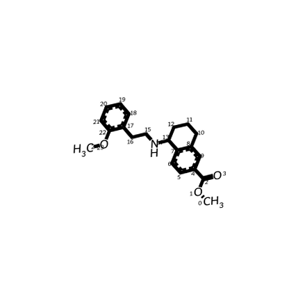 COC(=O)c1ccc2c(c1)CCCC2NCCc1ccccc1OC